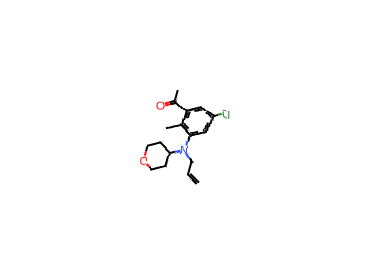 C=CCN(c1cc(Cl)cc(C(C)=O)c1C)C1CCOCC1